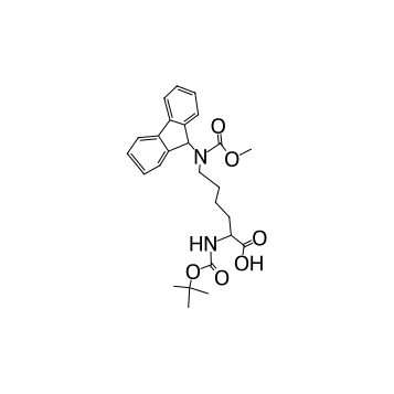 COC(=O)N(CCCCC(NC(=O)OC(C)(C)C)C(=O)O)C1c2ccccc2-c2ccccc21